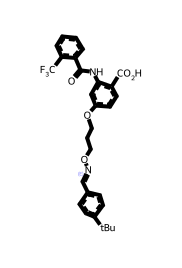 CC(C)(C)c1ccc(/C=N/OCCCOc2ccc(C(=O)O)c(NC(=O)c3ccccc3C(F)(F)F)c2)cc1